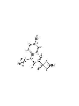 CN(C(=O)C1(F)CNC1)C(c1ccc(Br)cc1)C(F)(F)F.Cl